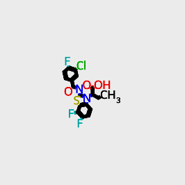 CCC(C(=O)O)n1c(=NC(=O)c2ccc(F)c(Cl)c2)sc2c(F)c(F)ccc21